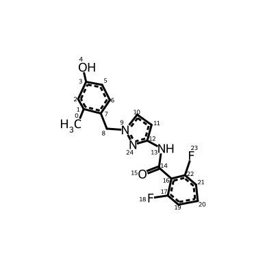 Cc1cc(O)ccc1Cn1ccc(NC(=O)c2c(F)cccc2F)n1